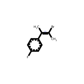 C/C(Br)=C(/C)c1ccc(F)cc1